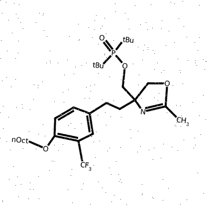 CCCCCCCCOc1ccc(CCC2(COP(=O)(C(C)(C)C)C(C)(C)C)COC(C)=N2)cc1C(F)(F)F